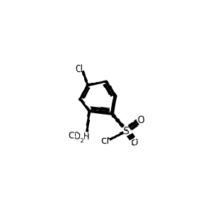 O=C(O)c1cc(Cl)ccc1S(=O)(=O)Cl